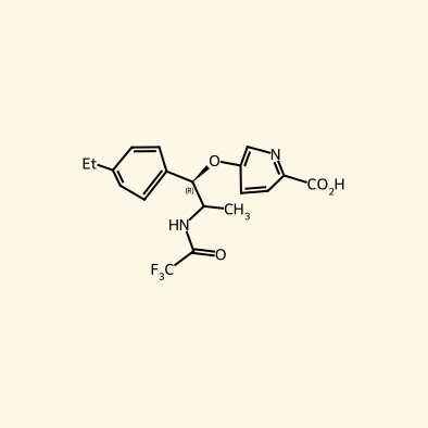 CCc1ccc([C@@H](Oc2ccc(C(=O)O)nc2)C(C)NC(=O)C(F)(F)F)cc1